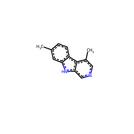 Cc1ccc2c(c1)[nH]c1cncc(C)c12